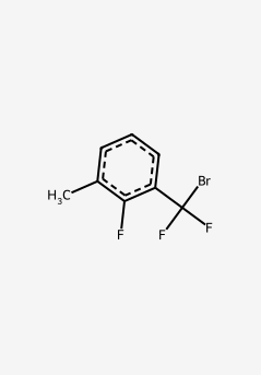 Cc1cccc(C(F)(F)Br)c1F